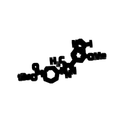 COc1cc(-c2nnn(C3CCCN(C(=O)OC(C)(C)C)CC3)c2C)cc2ncc(I)n12